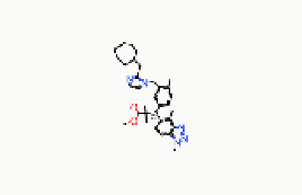 COC(=O)C(C)(C)[C@@H](c1ccc(C)c(Cn2ccnc2CC2CCCCCC2)c1)c1ccc2c(nnn2C)c1C